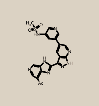 CC(=O)c1cncc2[nH]c(-c3n[nH]c4ncc(-c5cncc(NS(C)(=O)=O)c5)cc34)nc12